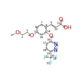 COCCOc1ccc(C=CC(=O)O)c(Oc2ccc(C(F)(F)F)nn2)c1